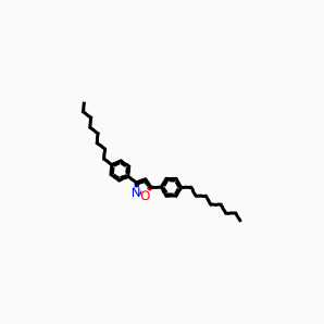 CCCCCCCCc1ccc(-c2cc(-c3ccc(CCCCCCCC)cc3)on2)cc1